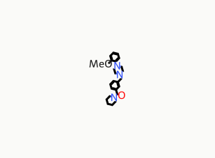 COc1ccccc1N1CCN(Cc2cccc(C(=O)N3CCCCC3)c2)CC1